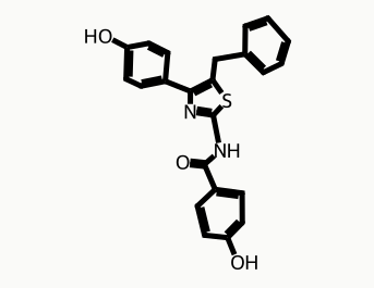 O=C(Nc1nc(-c2ccc(O)cc2)c(Cc2ccccc2)s1)c1ccc(O)cc1